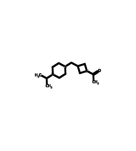 CC(=O)N1CC(CN2CCN(C(C)C)CC2)C1